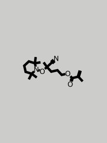 C=C(C)C(=O)OCCCC(C)(C#N)ON1C(C)(C)CCCC1(C)C